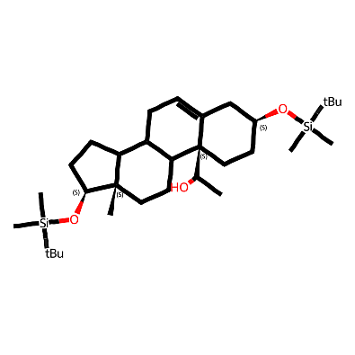 CC(O)[C@]12CC[C@H](O[Si](C)(C)C(C)(C)C)CC1=CCC1C2CC[C@@]2(C)C1CC[C@@H]2O[Si](C)(C)C(C)(C)C